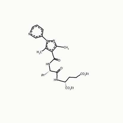 CCOC(=O)CC[C@@H](NC(=O)[C@@H](NC(=O)c1c(C)nn(-c2cccnc2)c1C)C(C)C)C(=O)OCC